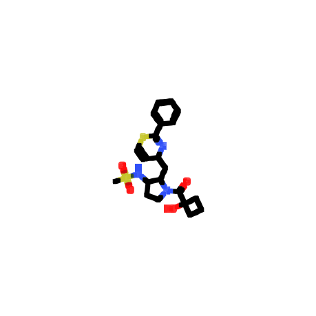 CS(=O)(=O)NC1CCN(C(=O)C2(O)CCC2)C1CC1C#CSC(c2ccccc2)=N1